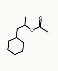 CCC(=O)OC(C)CC1CCCCC1